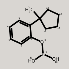 CC1(c2ccccc2OP(O)O)CCCC1